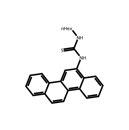 CCCCCCNC(=S)Nc1cc2c3ccccc3ccc2c2ccccc12